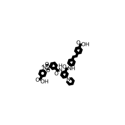 CN(C1CCC(C(=O)O)CC1)S(=O)(=O)c1cccc(C(=O)Nc2ccc(N3CCCCC3)cc2C(=O)Nc2ccc(CCc3ccc(C(=O)O)cc3)cc2)c1